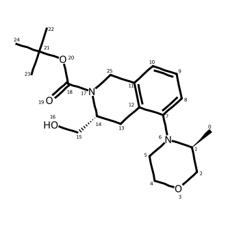 C[C@H]1COCCN1c1cccc2c1C[C@H](CO)N(C(=O)OC(C)(C)C)C2